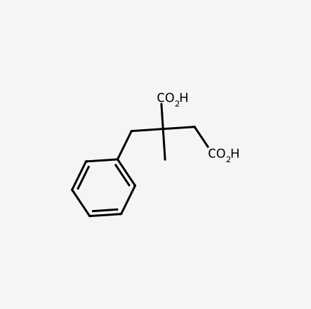 CC(CC(=O)O)(Cc1ccccc1)C(=O)O